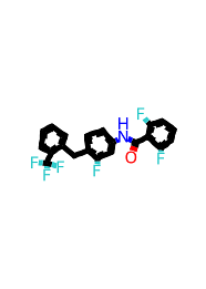 O=C(Nc1ccc(Cc2ccccc2C(F)(F)F)c(F)c1)c1c(F)cccc1F